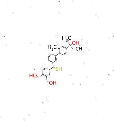 CCC(O)(CC)c1ccc(-c2cccc(C(S)c3ccc(CO)c(CO)c3)c2)c(C)c1